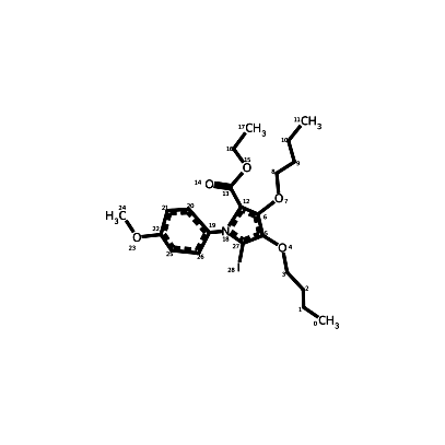 CCCCOc1c(OCCCC)c(C(=O)OCC)n(-c2ccc(OC)cc2)c1I